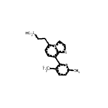 Cc1ccc(C(F)(F)F)c(-c2ccc(CCC(=O)O)n3ccnc23)n1